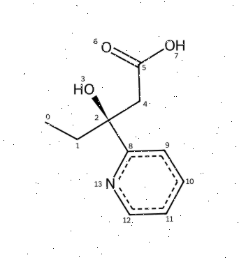 CC[C@](O)(CC(=O)O)c1ccccn1